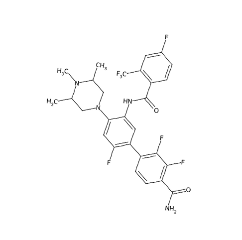 CC1CN(c2cc(F)c(-c3ccc(C(N)=O)c(F)c3F)cc2NC(=O)c2ccc(F)cc2C(F)(F)F)CC(C)N1C